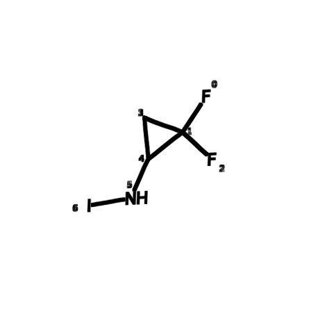 FC1(F)CC1NI